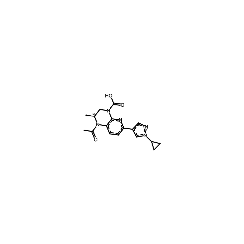 CC(=O)N1c2ccc(-c3cnn(C4CC4)c3)nc2N(C(=O)O)C[C@@H]1C